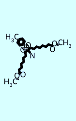 CCOC(=O)CCCCCCCC(C#N)(CCCCCCCC(=O)OCC)S(=O)(=O)c1ccc(C)cc1